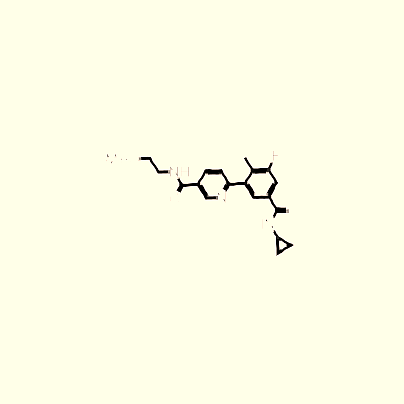 COCCNC(=O)c1ccc(-c2cc(C(=O)NC3CC3)cc(F)c2C)nc1